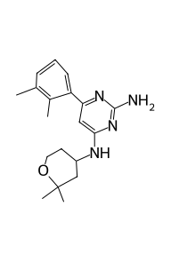 Cc1cccc(-c2cc(NC3CCOC(C)(C)C3)nc(N)n2)c1C